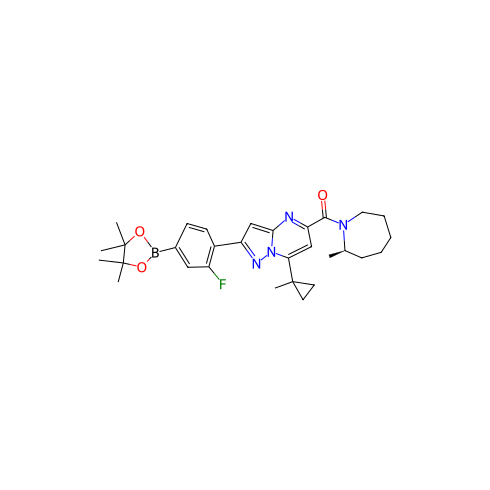 C[C@@H]1CCCCCN1C(=O)c1cc(C2(C)CC2)n2nc(-c3ccc(B4OC(C)(C)C(C)(C)O4)cc3F)cc2n1